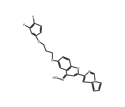 O/N=c1/cc(-c2cc3cccn3cn2)oc2ccc(OCCCOc3ccc(F)c(F)c3)cc12